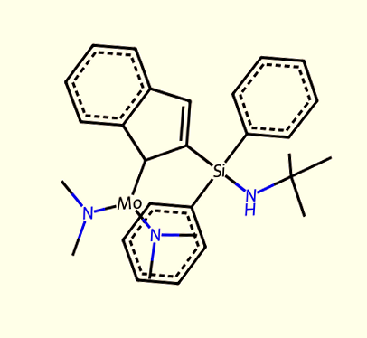 C[N](C)[Mo]([CH]1C([Si](NC(C)(C)C)(c2ccccc2)c2ccccc2)=Cc2ccccc21)[N](C)C